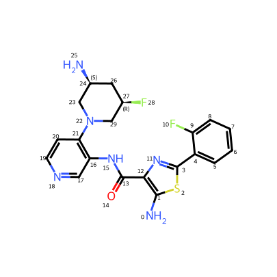 Nc1sc(-c2ccccc2F)nc1C(=O)Nc1cnccc1N1C[C@@H](N)C[C@@H](F)C1